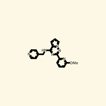 COc1cccc(-c2nc(NCc3ccncc3)c3cccn3n2)n1